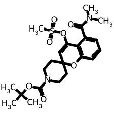 CN(C)C(=O)c1cccc2c1C(OS(C)(=O)=O)=CC1(CCN(C(=O)OC(C)(C)C)CC1)O2